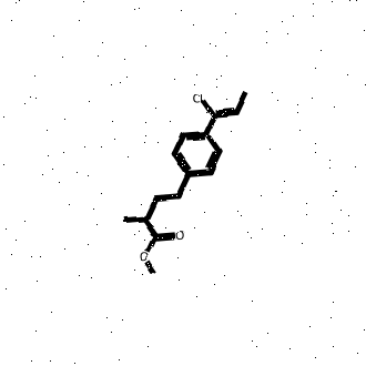 CC=C(Cl)c1ccc(CCC(C)C(=O)OC)cc1